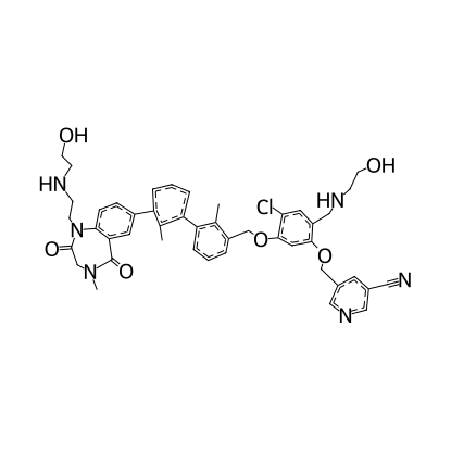 Cc1c(COc2cc(OCc3cncc(C#N)c3)c(CNCCO)cc2Cl)cccc1-c1cccc(-c2ccc3c(c2)C(=O)N(C)CC(=O)N3CCNCCO)c1C